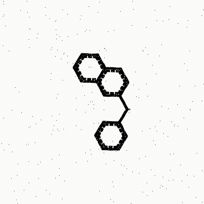 [CH](c1ccccc1)c1ccc2ccccc2c1